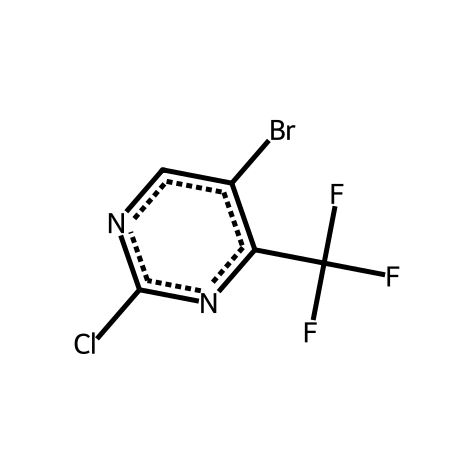 FC(F)(F)c1nc(Cl)ncc1Br